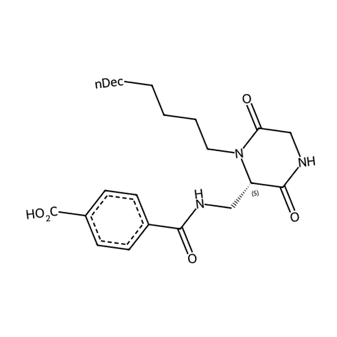 CCCCCCCCCCCCCCN1C(=O)CNC(=O)[C@@H]1CNC(=O)c1ccc(C(=O)O)cc1